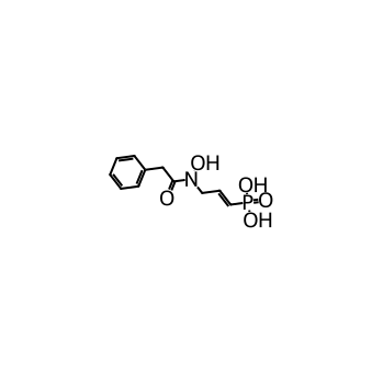 O=C(Cc1ccccc1)N(O)C/C=C/P(=O)(O)O